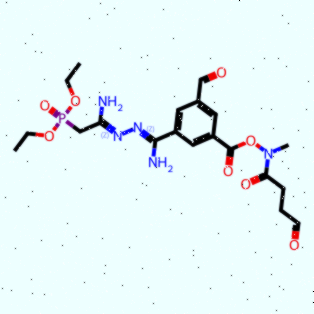 CCOP(=O)(C/C(N)=N/N=C(\N)c1cc(C=O)cc(C(=O)ON(C)C(=O)CCC=O)c1)OCC